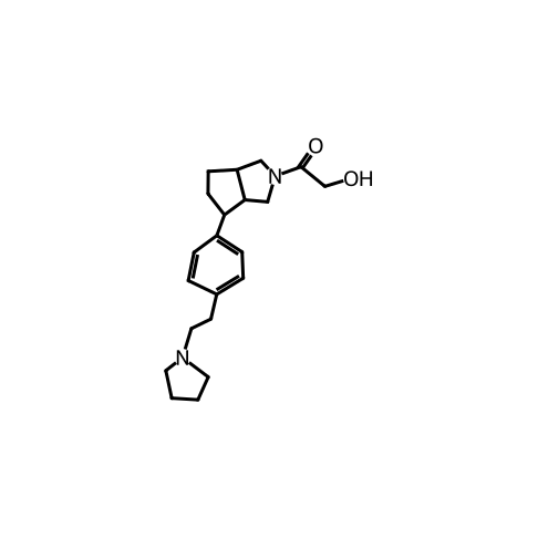 O=C(CO)N1CC2CCC(c3ccc(CCN4CCCC4)cc3)C2C1